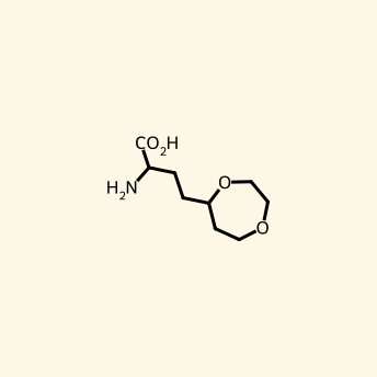 NC(CCC1CCOCCO1)C(=O)O